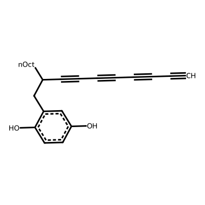 C#CC#CC#CC#CC(CCCCCCCC)Cc1cc(O)ccc1O